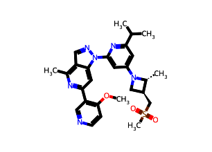 COc1ccncc1-c1cc2c(cnn2-c2cc(N3C[C@H](CS(C)(=O)=O)[C@H]3C)cc(C(C)C)n2)c(C)n1